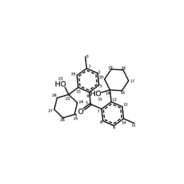 Cc1ccc(C(=O)c2ccc(C)cc2C2(O)CCCCC2)c(C2(O)CCCCC2)c1